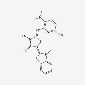 CCN1C(=O)C(=C2Sc3ccccc3N2C)SC1=Nc1cc(C#N)ccc1N(C)C